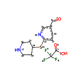 O=C(O)C(F)(F)F.O=Cc1ccc(SC2CCNCC2)nc1